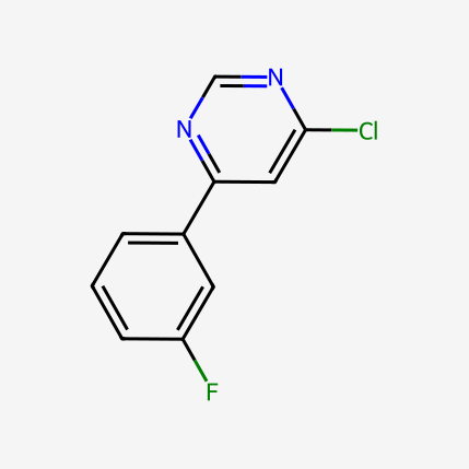 Fc1cccc(-c2cc(Cl)ncn2)c1